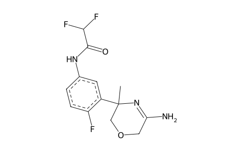 CC1(c2cc(NC(=O)C(F)F)ccc2F)COCC(N)=N1